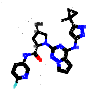 CCCCCCCC[C@H]1C[C@@H](C(=O)Nc2ccc(F)nc2)N(c2nc(Nc3cc(C4(C)CC4)[nH]n3)c3cccn3n2)C1